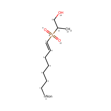 CCCCCCCCCCCCCCC=CS(=O)(=O)C(C)CO